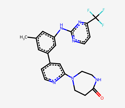 Cc1cc(Nc2nccc(C(F)(F)F)n2)cc(-c2ccnc(N3CCNC(=O)CC3)c2)c1